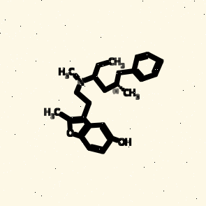 CCC(C[C@@H](C)Cc1ccccc1)N(C)CCc1c(C)oc2ccc(O)cc12